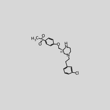 CS(=O)(=O)c1ccc(OC[C@@H]2CN(CCc3cccc(Cl)c3)CCN2)cc1